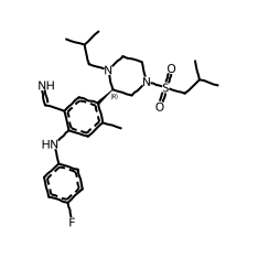 Cc1cc(Nc2ccc(F)cc2)c(C=N)cc1[C@@H]1CN(S(=O)(=O)CC(C)C)CCN1CC(C)C